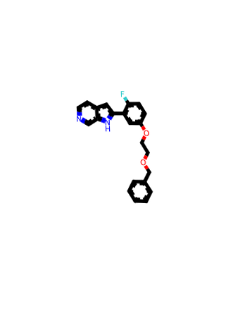 Fc1ccc(OCCOCc2ccccc2)cc1-c1cc2ccncc2[nH]1